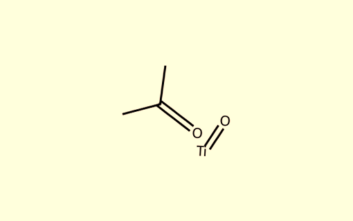 CC(C)=O.[O]=[Ti]